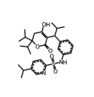 CC(C)c1ccc(S(=O)(=O)Nc2cccc(C(C3=C(O)CC(C(C)C)(C(C)C)OC3=O)C(C)C)c2)nc1